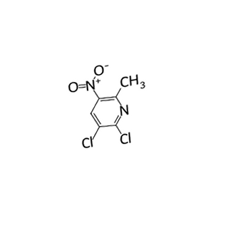 Cc1nc(Cl)c(Cl)cc1[N+](=O)[O-]